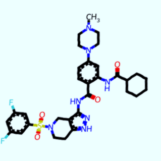 CN1CCN(c2ccc(C(=O)Nc3n[nH]c4c3CN(S(=O)(=O)c3cc(F)cc(F)c3)CC4)c(NC(=O)C3CCCCC3)c2)CC1